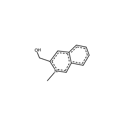 C[n+]1cc2ccccc2cc1CO